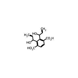 C=CC(O)c1c(C(=O)O)ccc(C(=O)O)c1C(O)C=C